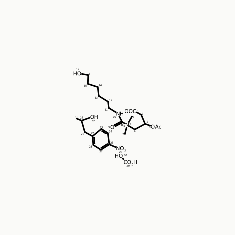 CC(=O)OC(CC(=O)[O-])C[N+](C)(C)C(=O)NCCCCCCO.CC(O)Cc1ccc([N+](=O)[O-])cc1.O=C(O)O